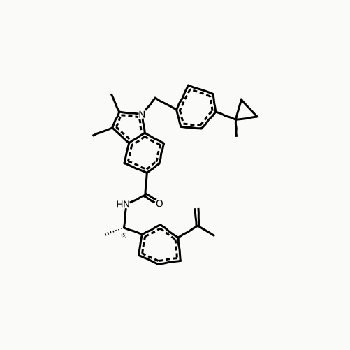 C=C(C)c1cccc([C@H](C)NC(=O)c2ccc3c(c2)c(C)c(C)n3Cc2ccc(C3(C)CC3)cc2)c1